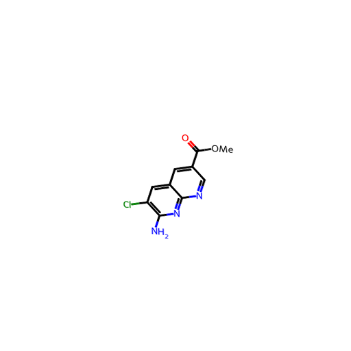 COC(=O)c1cnc2nc(N)c(Cl)cc2c1